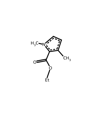 CCOC(=O)c1c(C)ccn1C